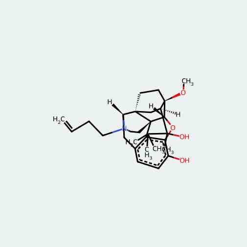 C=CCCN1CC[C@]23c4c5ccc(O)c4O[C@H]2[C@@]2(OC)CC[C@@]3(C[C@@H]2C(C)(O)C(C)(C)C)[C@H]1C5